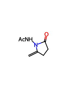 C=C1CCC(=O)N1NC(C)=O